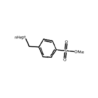 CCCCCCCCc1ccc(S(=O)(=O)OC)cc1